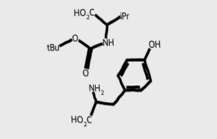 CC(C)C(NC(=O)OC(C)(C)C)C(=O)O.NC(Cc1ccc(O)cc1)C(=O)O